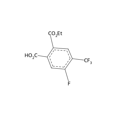 CCOC(=O)c1cc(C(F)(F)F)c(F)cc1C(=O)O